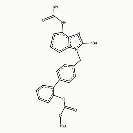 CCCCc1nc2c(NC(=O)CCC)cccc2n1Cc1ccc(-c2ccccc2OC(=O)OC(C)(C)C)cc1